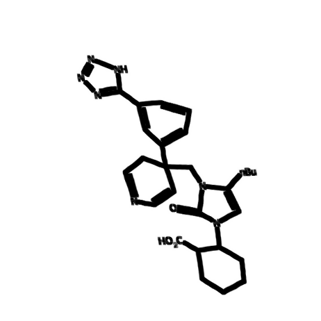 CCCCc1cn(C2CCCCC2C(=O)O)c(=O)n1CC1(c2cccc(-c3nnn[nH]3)c2)C=CN=CC1